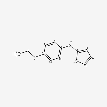 CCCc1ccc(Sc2cccs2)cc1